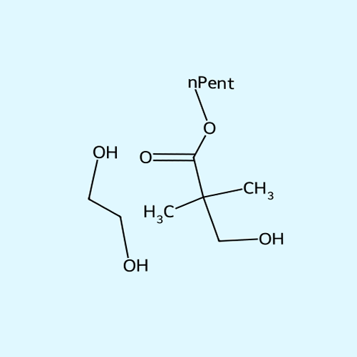 CCCCCOC(=O)C(C)(C)CO.OCCO